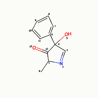 CC1N=CC(O)(c2ccccc2)C1=O